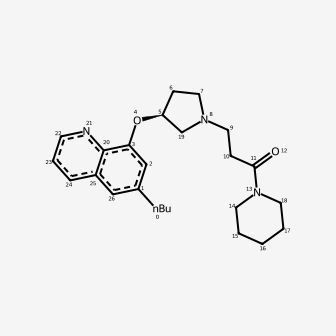 CCCCc1cc(O[C@H]2CCN(CCC(=O)N3CCCCC3)C2)c2ncccc2c1